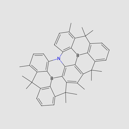 Cc1ccc2c3c1C(C)(C)c1cccc4c1B3c1c3c5c(c(C)c1C4(C)C)C(C)(C)c1cccc4c1B5c1c(ccc(C)c1C4(C)C)N23